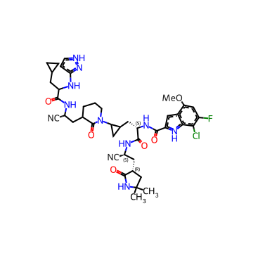 COc1cc(F)c(Cl)c2[nH]c(C(=O)N[C@@H](CC3CC3N3CCCC(CC(C#N)NC(=O)C(CC4CC4)Nc4cc[nH]n4)C3=O)C(=O)N[C@H](C#N)C[C@@H]3CC(C)(C)NC3=O)cc12